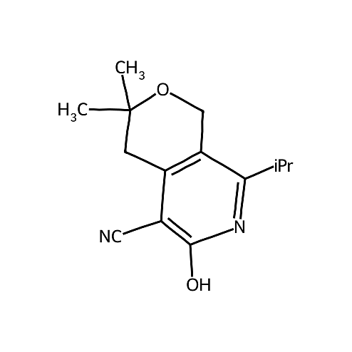 CC(C)c1nc(O)c(C#N)c2c1COC(C)(C)C2